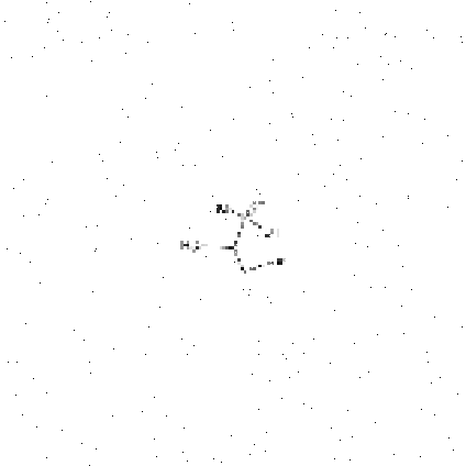 CC(CBr)P(=O)(O)O